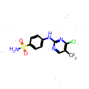 NS(=O)(=O)c1ccc(Nc2ncc(C(F)(F)F)c(Cl)n2)cc1